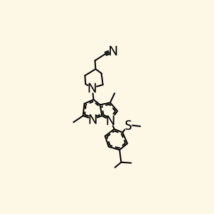 CSc1cc(C(C)C)ccc1-n1cc(C)c2c(N3CCC(CC#N)CC3)cc(C)nc21